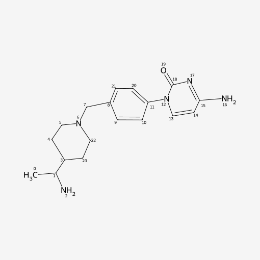 CC(N)C1CCN(Cc2ccc(-n3ccc(N)nc3=O)cc2)CC1